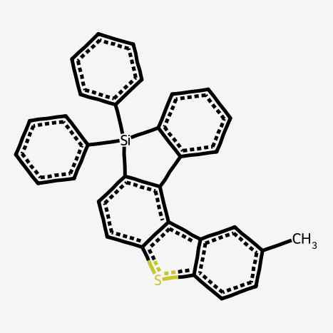 Cc1ccc2sc3ccc4c(c3c2c1)-c1ccccc1[Si]4(c1ccccc1)c1ccccc1